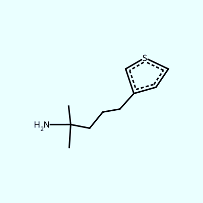 CC(C)(N)CCCc1ccsc1